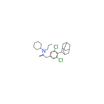 C=C(Cc1cc(Cl)c(C2C3CC4CC(C3)CC2C4)c(Cl)c1)N(CCC)C1CCCCC1